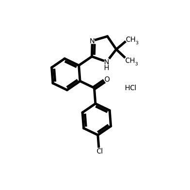 CC1(C)CN=C(c2ccccc2C(=O)c2ccc(Cl)cc2)N1.Cl